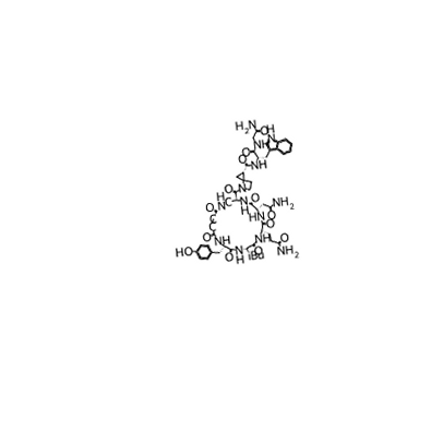 CC[C@H](C)[C@@H]1NC(=O)[C@H](Cc2ccc(O)cc2)NC(=O)CCC(=O)NC[C@@H](C(=O)N2CCC23C[C@@H]3C(=O)N[C@@H](Cc2c[nH]c3ccccc23)C(=O)NCC(N)=O)NC(=O)[C@H](CC(N)=O)NC(=O)[C@H](CCC(N)=O)NC1=O